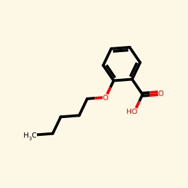 CCCCCOc1ccccc1C(=O)O